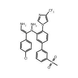 CS(=O)(=O)c1cccc(-c2ccc(-n3cnc(C(F)(F)F)c3)c(N(N)/C(=C\N)c3ccc(Cl)cc3)c2)c1